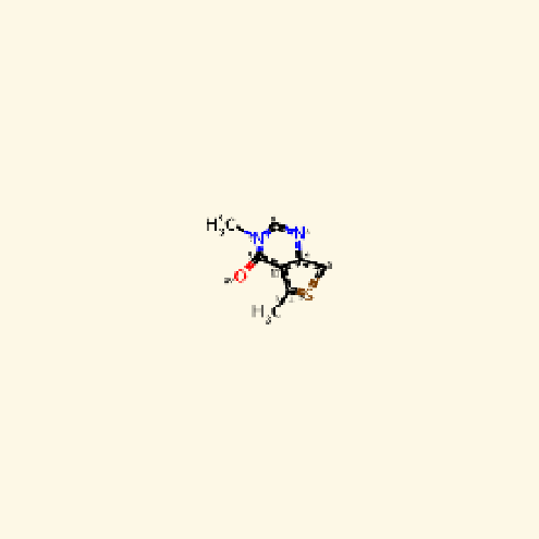 Cc1scc2ncn(C)c(=O)c12